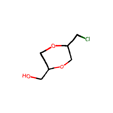 OCC1COC(CCl)CO1